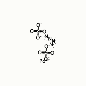 O=S(=O)([O-])[O-].O=S(=O)([O-])[O-].[N].[N].[N].[N].[Pd+4]